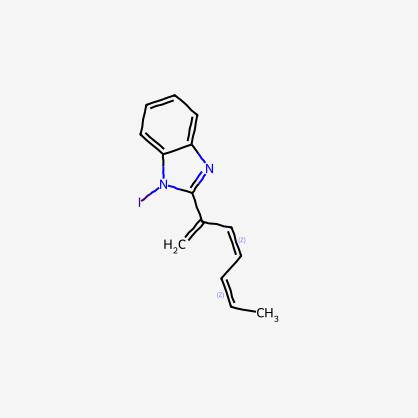 C=C(/C=C\C=C/C)c1nc2ccccc2n1I